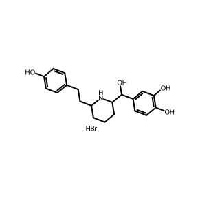 Br.Oc1ccc(CCC2CCCC(C(O)c3ccc(O)c(O)c3)N2)cc1